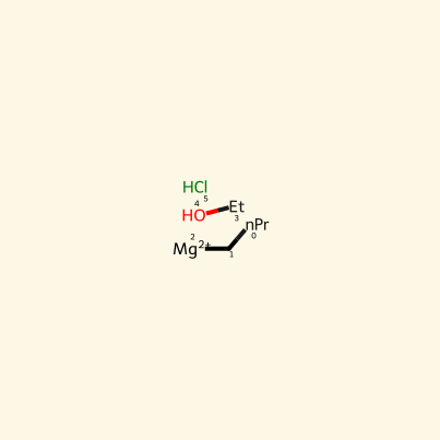 CCC[CH2][Mg+2].CCO.Cl